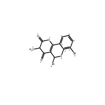 CC1C(=O)OC2=C(C1=O)C(C(C)C)Sc1c(Br)cccc12